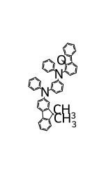 CC1(C)c2ccccc2-c2ccc(N(c3ccccc3)c3cccc(N(c4ccccc4)c4cccc5c4oc4ccccc45)c3)cc21